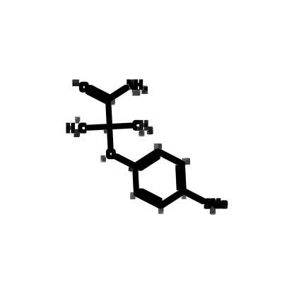 CSc1ccc(OC(C)(C)C(N)=O)cc1